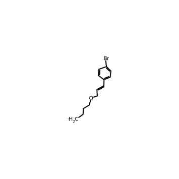 [CH2]CCCOCC=Cc1ccc(Br)cc1